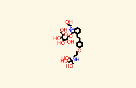 OCCn1nc(O[C@@H]2O[C@H](CO)[C@@H](O)[C@H](O)[C@H]2O)c2c(CCc3ccc(OCCCNC(CO)(CO)CO)cc3)cccc21